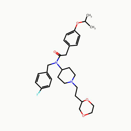 CC(C)Oc1ccc(CC(=O)N(Cc2ccc(F)cc2)C2CCN(CCC3COCCO3)CC2)cc1